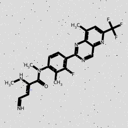 CN/C(=C\C=N)C(=O)N(C)c1ccc(-c2ncc3nc(C(F)(F)F)cc(C)c3n2)c(F)c1C